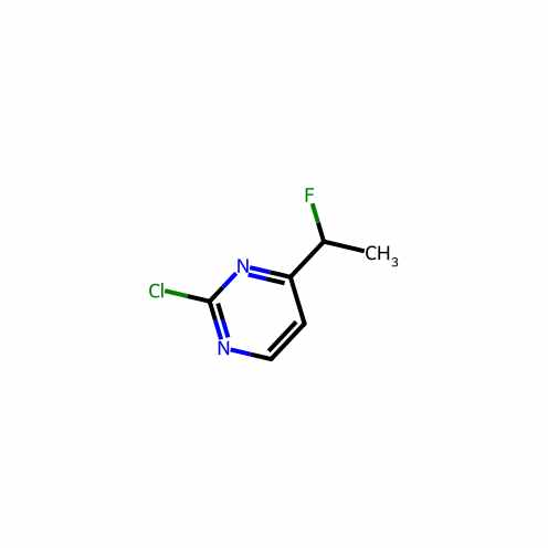 CC(F)c1ccnc(Cl)n1